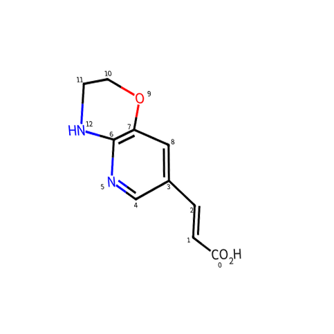 O=C(O)/C=C/c1cnc2c(c1)OCCN2